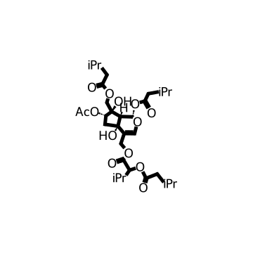 CC(=O)O[C@H]1C[C@]2(O)C(COC(=O)C(OC(=O)CC(C)C)C(C)C)=CO[C@@H](OC(=O)CC(C)C)[C@@H]2[C@@]1(O)COC(=O)CC(C)C